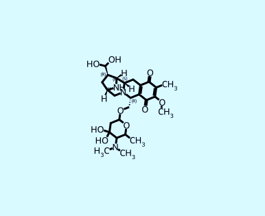 COC1=C(C)C(=O)C2=C(C1=O)[C@H](COC1CC(O)(O)C(N(C)C)C(C)O1)N1C[C@@H]3C[C@@H](C(O)O)[C@@H](N3)[C@@H]1C2